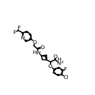 NC(=O)C(Oc1ccc(Cl)c(F)c1)C12CC(NC(=O)COc3ccc(C(F)F)nc3)(C1)C2